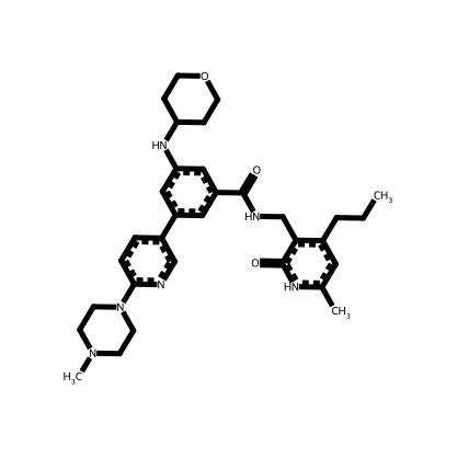 CCCc1cc(C)[nH]c(=O)c1CNC(=O)c1cc(NC2CCOCC2)cc(-c2ccc(N3CCN(C)CC3)nc2)c1